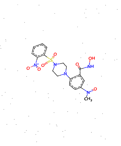 C[N+](=O)c1ccc(N2CCN(S(=O)(=O)c3ccccc3[N+](=O)[O-])CC2)c(C(=O)NO)c1